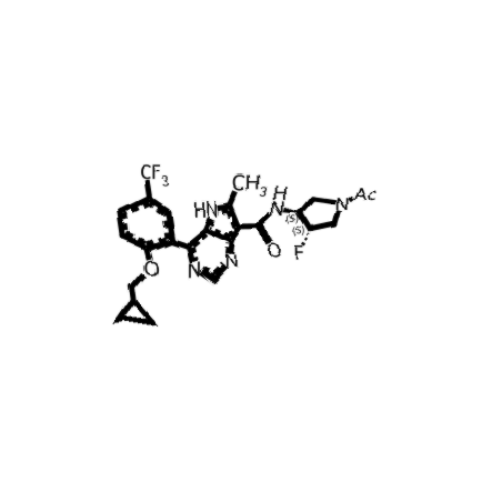 CC(=O)N1C[C@H](NC(=O)c2c(C)[nH]c3c(-c4cc(C(F)(F)F)ccc4OCC4CC4)ncnc23)[C@@H](F)C1